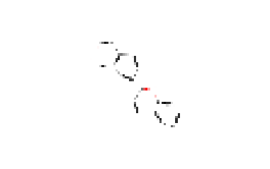 C1=Cc2ccc(C3C=Cc4ccccc4O3)cc2CO1